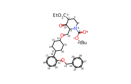 CCOC(=O)C1CCN(C(=O)OC(C)(C)C)C(COC2CCC(c3ccccc3OCc3ccccc3)CC2)C1=O